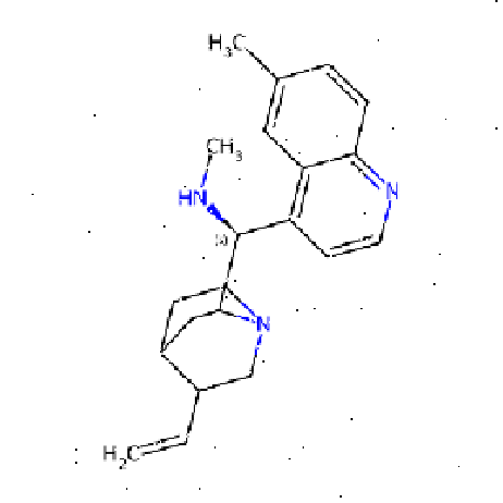 C=CC1CN2CCC1CC2[C@@H](NC)c1ccnc2ccc(C)cc12